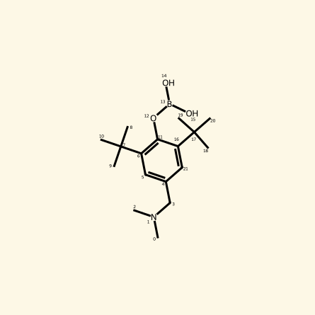 CN(C)Cc1cc(C(C)(C)C)c(OB(O)O)c(C(C)(C)C)c1